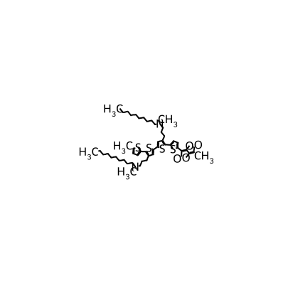 CCCCCCCCCCN(C)CCCc1cc(-c2cc(CCCN(C)CCCCCCCCCC)c(-c3ccc(C4=C5OC(=O)C(C)=C5OC4=O)s3)s2)sc1-c1ccc(C)s1